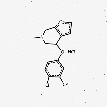 CN1Cc2occc2C(Oc2ccc(Cl)c(C(F)(F)F)c2)C1.Cl